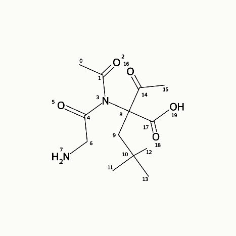 CC(=O)N(C(=O)CN)C(CC(C)(C)C)(C(C)=O)C(=O)O